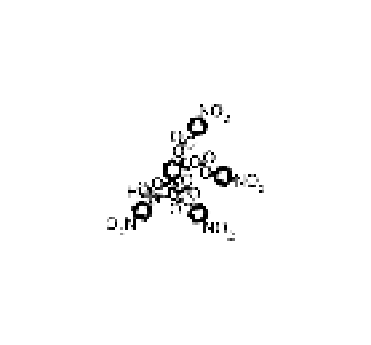 O=C(O)CCC(=O)OC1C(COC(=O)Oc2ccc([N+](=O)[O-])cc2)(COC(=O)Oc2ccc([N+](=O)[O-])cc2)CCCC1(COC(=O)Oc1ccc([N+](=O)[O-])cc1)COC(=O)Oc1ccc([N+](=O)[O-])cc1